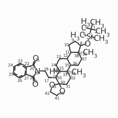 CC(C)(C)[Si](C)(C)OC1CCC2C3CC[C@H]4[C@H](CCN5C(=O)c6ccccc6C5=O)C5(CC[C@]4(C)C3CC[C@]12C)OCCO5